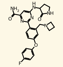 NC(=O)c1cc(NC2CCNC2=O)nc(-c2ccc(Oc3ccc(F)cc3)cc2CN2CCC2)n1